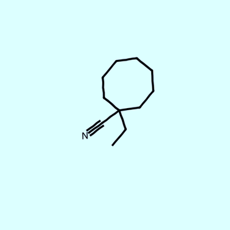 CCC1(C#N)CCCCCCC1